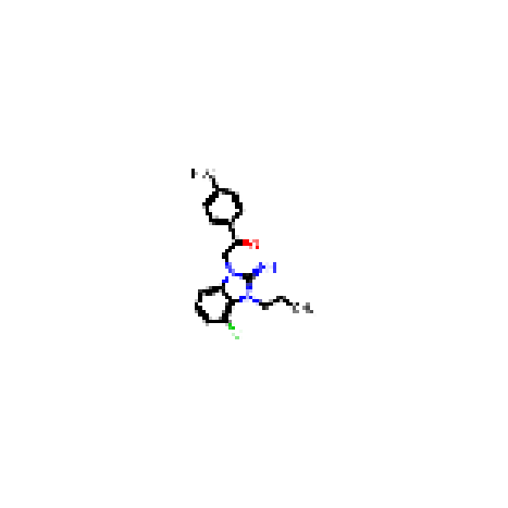 CCCn1c(=N)n(CC(=O)c2ccc(C)cc2)c2cccc(Cl)c21